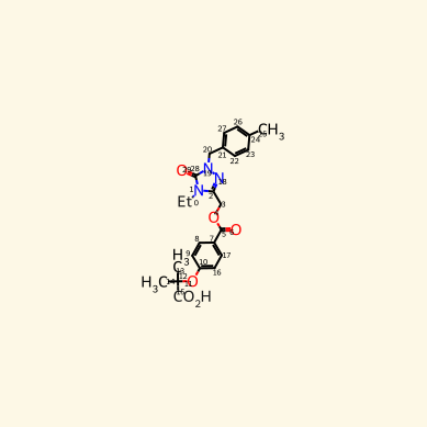 CCn1c(COC(=O)c2ccc(OC(C)(C)C(=O)O)cc2)nn(Cc2ccc(C)cc2)c1=O